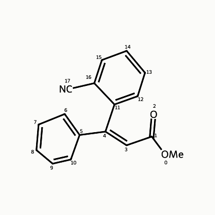 COC(=O)C=C(c1ccccc1)c1ccccc1C#N